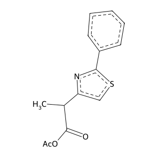 CC(=O)OC(=O)C(C)c1csc(-c2ccccc2)n1